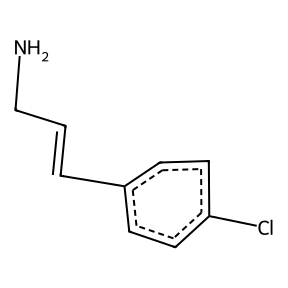 NCC=Cc1ccc(Cl)cc1